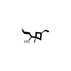 CC[C@H]1C[C@](C)([C@@H](O)C=CI)C1